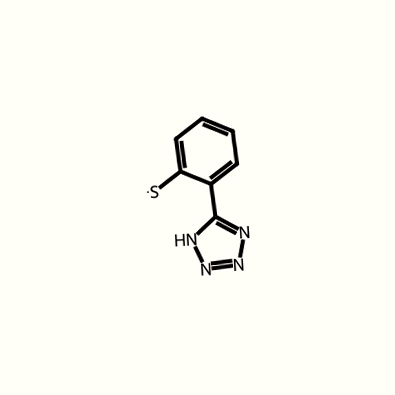 [S]c1ccccc1-c1nnn[nH]1